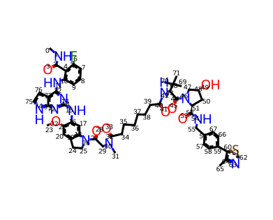 CNC(=O)c1c(F)cccc1Nc1nc(Nc2cc3c(cc2OC)CCN3C(=O)CN(C)C(=O)CCCCCCC(=O)NC(C(=O)N2C[C@H](O)C[C@H]2C(=O)NCc2ccc(-c3scnc3C)cc2)C(C)(C)C)nc2[nH]ccc12